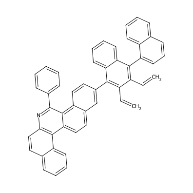 C=Cc1c(C=C)c(-c2cccc3ccccc23)c2ccccc2c1-c1ccc2c(ccc3c2c(-c2ccccc2)nc2ccc4ccccc4c23)c1